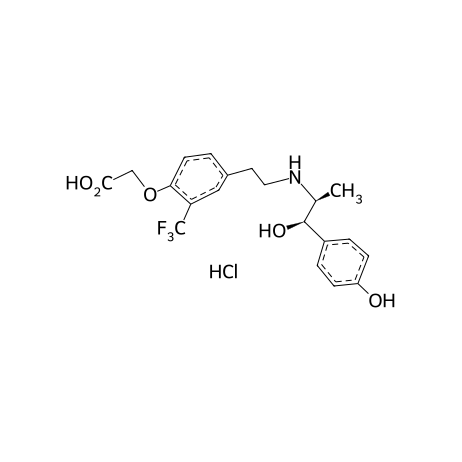 C[C@H](NCCc1ccc(OCC(=O)O)c(C(F)(F)F)c1)[C@H](O)c1ccc(O)cc1.Cl